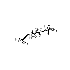 CC(C)C#CCNC(=O)[C@@H](O)[C@H](O)C(=O)NCCNC(C)C